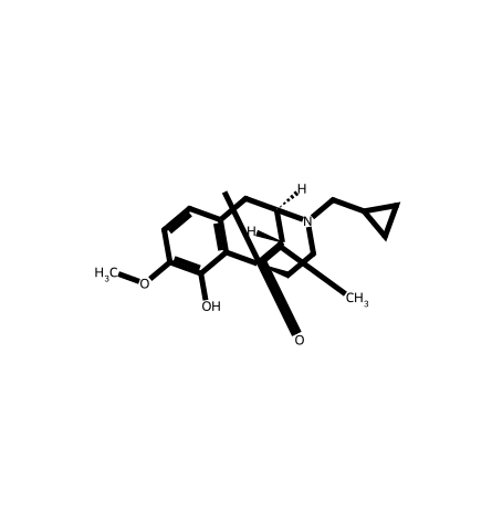 COc1ccc2c(c1O)[C@]13CCN(CC4CC4)[C@H](C2)[C@@H]1CC(C)C(=O)C3